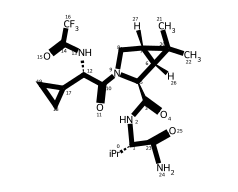 CC(C)[C@H](NC(=O)[C@@H]1[C@@H]2[C@H](CN1C(=O)[C@@H](NC(=O)C(F)(F)F)C1CC1)C2(C)C)C(N)=O